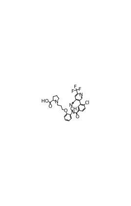 CN(C(=O)c1ccc(Cl)c(-c2cnc(C(F)(F)F)cc2C#N)c1)c1ccccc1OCCCN1CCCC1C(=O)O